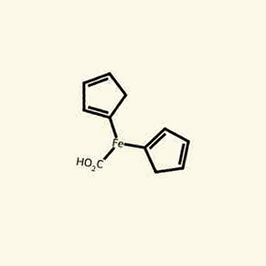 O=[C](O)[Fe]([C]1=CC=CC1)[C]1=CC=CC1